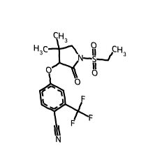 CCS(=O)(=O)N1CC(C)(C)C(Oc2ccc(C#N)c(C(F)(F)F)c2)C1=O